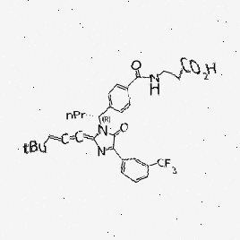 CCC[C@H](c1ccc(C(=O)NCCC(=O)O)cc1)N1C(=O)C(c2cccc(C(F)(F)F)c2)=NC1=C=C=CC(C)(C)C